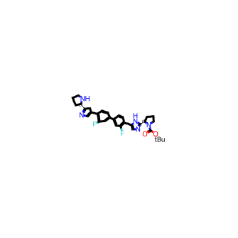 CC(C)(C)OC(=O)N1CCC[C@H]1c1ncc(-c2ccc(-c3ccc(C4=CN=C([C@@H]5CCCN5)C4)c(F)c3)cc2F)[nH]1